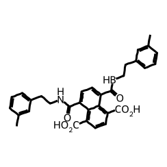 Cc1cccc(CCBC(=O)c2ccc(C(=O)NCCc3cccc(C)c3)c3c(C(=O)O)ccc(C(=O)O)c23)c1